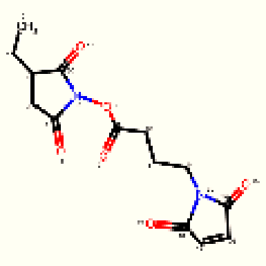 CCC1CC(=O)N(OC(=O)CCCN2C(=O)C=CC2=O)C1=O